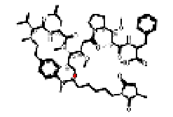 CC[C@H](C)[C@@H]([C@@H](CC(=O)N1CCC[C@H]1[C@H](OC)[C@@H](C)C(=O)NC(Cc1ccccc1)C(=O)O)OC)N(C)C(=O)[C@H](CC(C)C)NC(=O)[C@H](C(C)C)N(C)CCc1ccc(N(C)C(=O)CCCCCN2C(=O)CC(C)C2=O)cc1